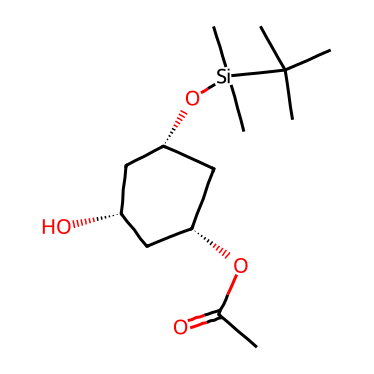 CC(=O)O[C@@H]1C[C@H](O)C[C@H](O[Si](C)(C)C(C)(C)C)C1